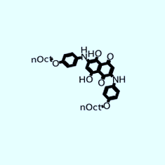 CCCCCCCCOc1ccc(NC2=CC(=O)c3c(O)c(Nc4ccc(OCCCCCCCC)cc4)cc(O)c3C2=O)cc1